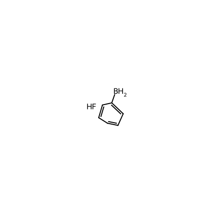 Bc1ccccc1.F